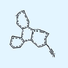 N#Cc1ccc2c3cc[c]cc3c3ccccc3c2c1